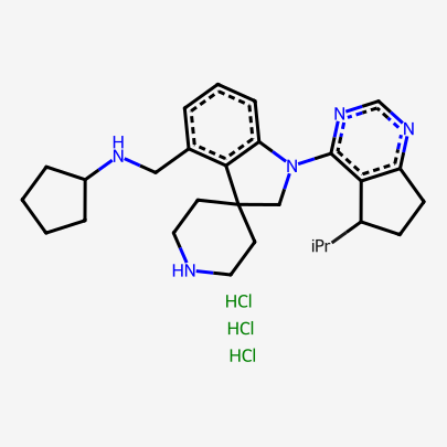 CC(C)C1CCc2ncnc(N3CC4(CCNCC4)c4c(CNC5CCCC5)cccc43)c21.Cl.Cl.Cl